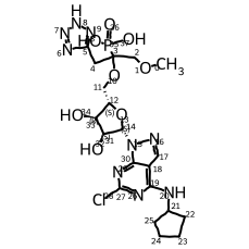 COCC(Cc1nn[nH]n1)(OC[C@@H]1O[C@H](n2ncc3c(NC4CCCC4)nc(Cl)nc32)[C@@H](O)[C@H]1O)P(=O)(O)O